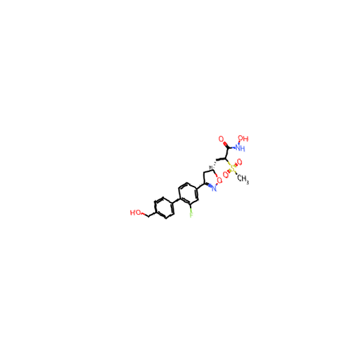 CS(=O)(=O)C(C[C@H]1CC(c2ccc(-c3ccc(CO)cc3)c(F)c2)=NO1)C(=O)NO